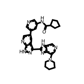 O=C(Nc1cncc(-c2cnc3[nH]nc(-c4nc5c(N6CCCCC6)cncc5[nH]4)c3c2)c1)C1CCCC1